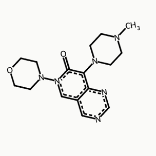 CN1CCN(c2c(=O)n(N3CCOCC3)cc3cncnc23)CC1